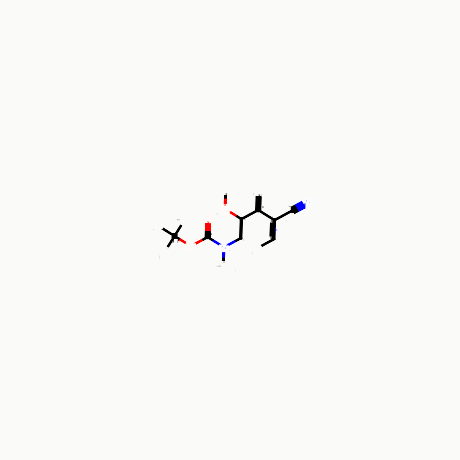 C=C(/C(C#N)=C\C)C(CN(C)C(=O)OC(C)(C)C)OC